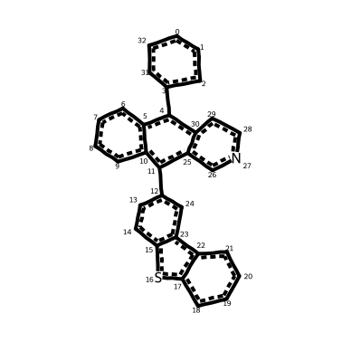 c1ccc(-c2c3ccccc3c(-c3ccc4sc5ccccc5c4c3)c3cnccc23)cc1